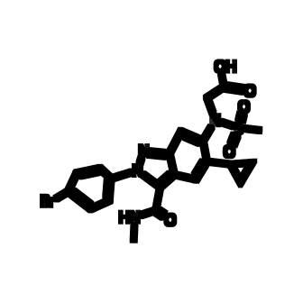 CNC(=O)c1c2cc(C3CC3)c(N(CC(=O)O)S(C)(=O)=O)cc2nn1-c1ccc(Br)cc1